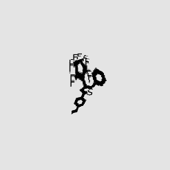 C=Cc1ccc(-c2cc(C3=C(F)C(F)(F)C(F)(F)C3(F)F)c(-c3ccccc3)s2)cc1